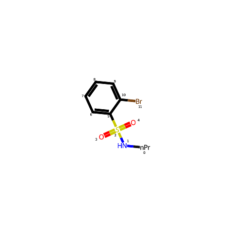 CCCNS(=O)(=O)c1ccccc1Br